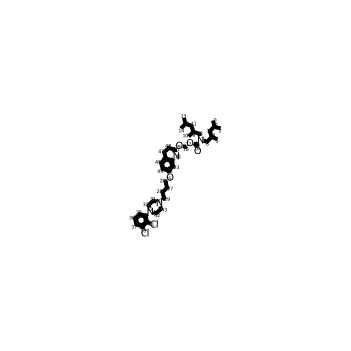 CC(C)CC(C)CN(CC(C)CC(C)C)C(=O)OCOC1=Nc2cc(OCCCCN3CCN(c4cccc(Cl)c4Cl)CC3)ccc2CC1